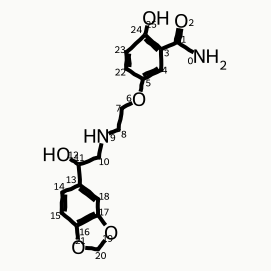 NC(=O)c1cc(OCCNCC(O)c2ccc3c(c2)OCO3)ccc1O